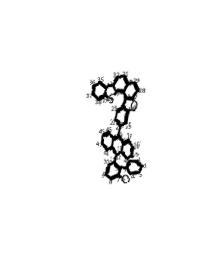 c1ccc2c(c1)oc1cccc(-c3c4ccccc4c(-c4ccc5c(c4)oc4ccc6ccc7c8ccccc8sc7c6c45)c4ccccc34)c12